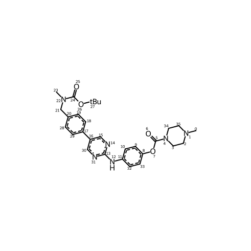 CN1CCN(C(=O)Oc2ccc(Nc3ncc(-c4ccc(CN(C)C(=O)OC(C)(C)C)cc4)cn3)cc2)CC1